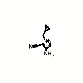 N#Cc1c(N)cnn1CC1CC1